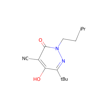 CC(C)CCn1nc(C(C)(C)C)c(O)c(C#N)c1=O